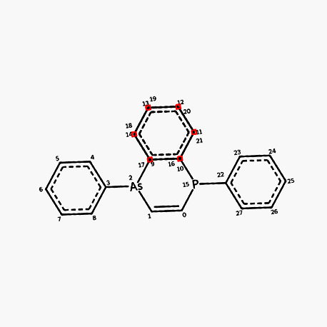 C(=C/[As](c1ccccc1)c1ccccc1)/P(c1ccccc1)c1ccccc1